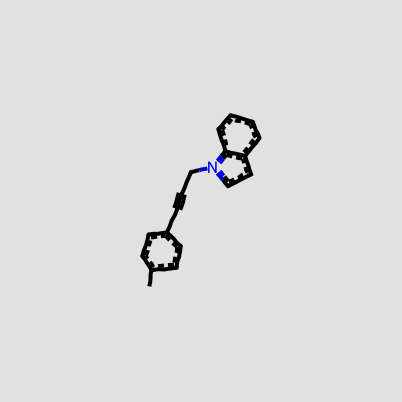 Cc1ccc(C#CCn2ccc3ccccc32)cc1